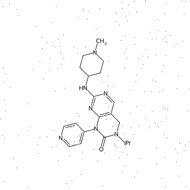 CC(C)N1Cc2cnc(NC3CCN(C)CC3)nc2N(c2ccncc2)C1=O